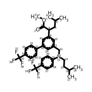 COC(=O)C(CC(C)C)c1cc(CN(CCC(C)C)c2ccc(C(F)(F)F)cc2)cc(-c2ccc(C(F)(F)F)cc2)c1